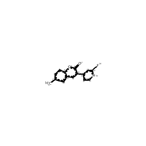 Cc1ccc2oc(=O)c(-c3ccnc(F)c3)cc2c1